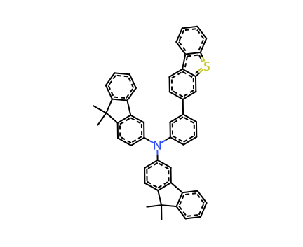 CC1(C)c2ccccc2-c2cc(N(c3cccc(-c4ccc5c(c4)sc4ccccc45)c3)c3ccc4c(c3)-c3ccccc3C4(C)C)ccc21